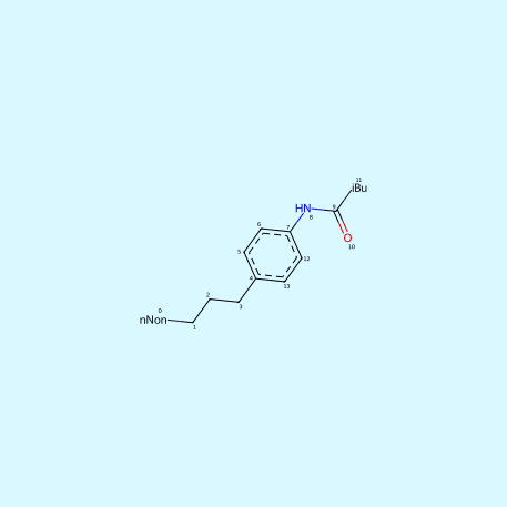 CCCCCCCCCCCCc1ccc(NC(=O)C(C)CC)cc1